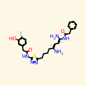 N/C(=C\C=C(/N)NC(=O)Cc1ccccc1)CCCCc1nnc(NC(=O)Cc2ccc(F)c(O)c2)s1